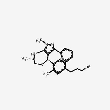 Cc1cc(CCCO)ccc1[C@H]1SC[C@H](C)Nc2c1c(-c1ccccn1)nn2C